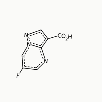 O=C(O)c1cnn2cc(F)cnc12